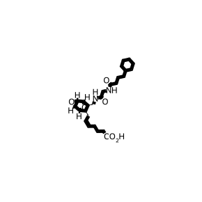 O=C(O)CCC/C=C\C[C@H]1[C@@H](CNC(=O)CNC(=O)CCCC2CCCCC2)[C@@H]2O[C@H]1[C@@H]1O[C@@H]12